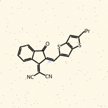 CC(C)c1cc2sc(/C=C3\C(=O)c4ccccc4C3=C(C#N)C#N)cc2s1